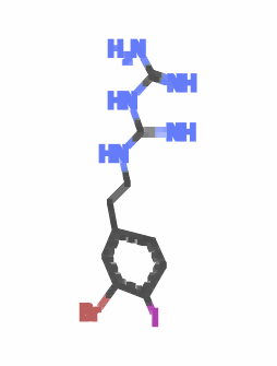 N=C(N)NC(=N)NCCc1ccc(I)c(Br)c1